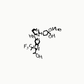 COC1(CO)CCN(c2nccc(Nc3cc4c(cn3)nc(C(C)O)n4C(C)C(F)(F)F)n2)CC1